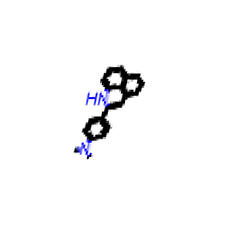 CN(C)c1ccc(C2=Cc3cccc4cccc(c34)N2)cc1